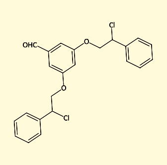 O=Cc1cc(OCC(Cl)c2ccccc2)cc(OCC(Cl)c2ccccc2)c1